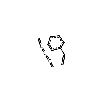 C=C=C=C=C.C=Cc1ccccc1